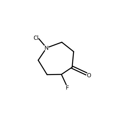 O=C1CCN(Cl)CCC1F